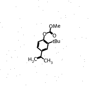 C=C(C)c1ccc(OC(=O)OC)c(C(C)(C)C)c1